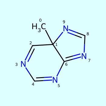 CC12C=NC=NC1=NC=N2